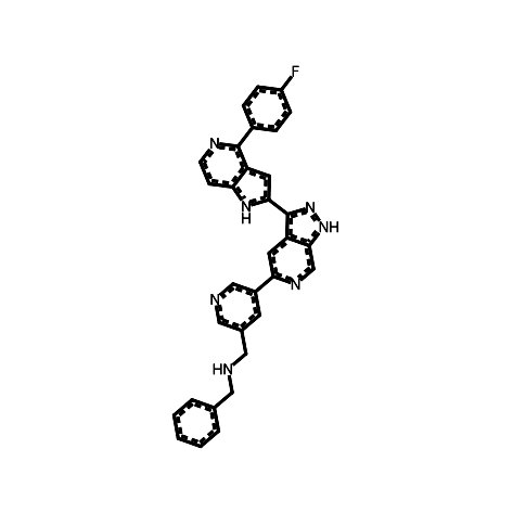 Fc1ccc(-c2nccc3[nH]c(-c4n[nH]c5cnc(-c6cncc(CNCc7ccccc7)c6)cc45)cc23)cc1